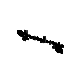 CC1=C(CCCOCCCO[N+](=O)OCCCOCCCC2=C(C)C(=O)c3ccccc3C2=O)C(=O)c2ccccc2C1=O